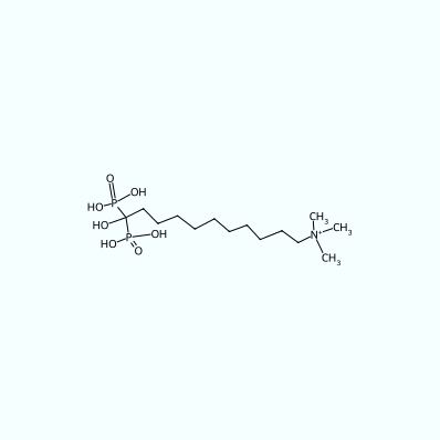 C[N+](C)(C)CCCCCCCCCCC(O)(P(=O)(O)O)P(=O)(O)O